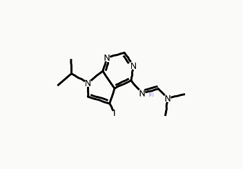 CC(C)n1cc(I)c2c(/N=C/N(C)C)ncnc21